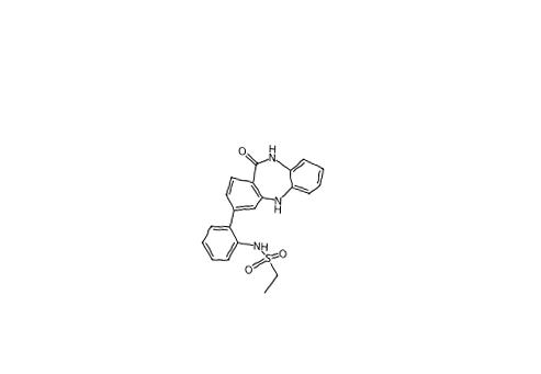 CCS(=O)(=O)Nc1ccccc1-c1ccc2c(c1)Nc1ccccc1NC2=O